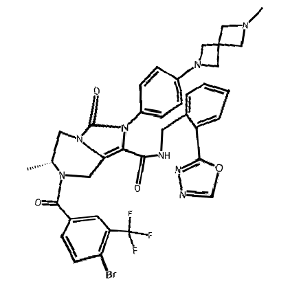 C[C@@H]1Cn2c(c(C(=O)NCc3ccccc3-c3nnco3)n(-c3ccc(N4CC5(CN(C)C5)C4)cc3)c2=O)CN1C(=O)c1ccc(Br)c(C(F)(F)F)c1